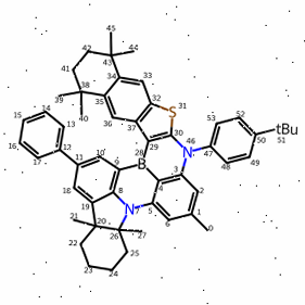 Cc1cc2c3c(c1)N1c4c(cc(-c5ccccc5)cc4C4(C)CCCCC14C)B3c1c(sc3cc4c(cc13)C(C)(C)CCC4(C)C)N2c1ccc(C(C)(C)C)cc1